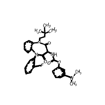 CN(C)c1cccc(OC(=O)NC2C(=O)N(CCC(C)(C)C)c3ccccc3N(c3ccccc3F)C2=O)c1